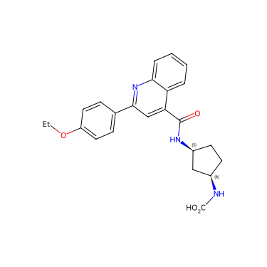 CCOc1ccc(-c2cc(C(=O)N[C@H]3CC[C@@H](NC(=O)O)C3)c3ccccc3n2)cc1